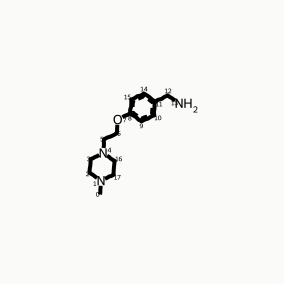 CN1CCN(CCOc2ccc(CN)cc2)CC1